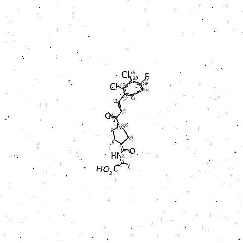 CC(NC(=O)C1CCN(C(=O)C=Cc2ccc(F)c(Cl)c2Cl)CC1)C(=O)O